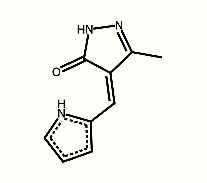 CC1=NNC(=O)C1=Cc1ccc[nH]1